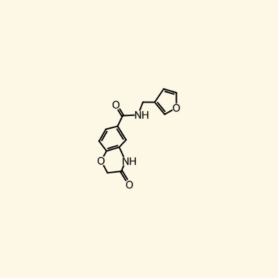 O=C1COc2ccc(C(=O)NCc3ccoc3)cc2N1